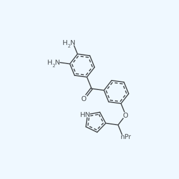 CCCC(Oc1cccc(C(=O)c2ccc(N)c(N)c2)c1)c1cc[nH]c1